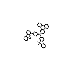 CC1(C)c2ccccc2-c2ccc(N(c3ccc(-c4cccc5c4sc4ccccc45)cc3)c3ccc4c5ccccc5c5ccccc5c4c3)cc21